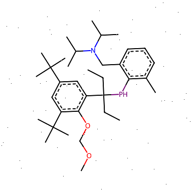 CCC(CC)(Pc1c(C)cccc1CN(C(C)C)C(C)C)c1cc(C(C)(C)C)cc(C(C)(C)C)c1OCOC